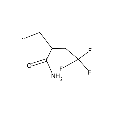 [CH2]CC(CC(F)(F)F)C(N)=O